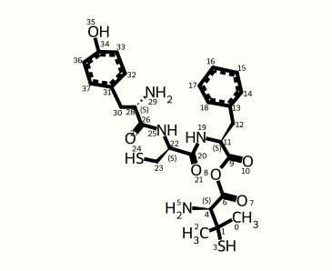 CC(C)(S)[C@@H](N)C(=O)OC(=O)[C@H](Cc1ccccc1)NC(=O)[C@@H](CS)NC(=O)[C@@H](N)Cc1ccc(O)cc1